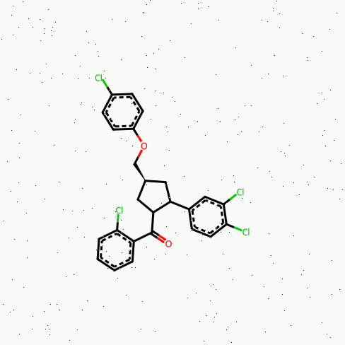 O=C(c1ccccc1Cl)C1C[C@@H](COc2ccc(Cl)cc2)CC1c1ccc(Cl)c(Cl)c1